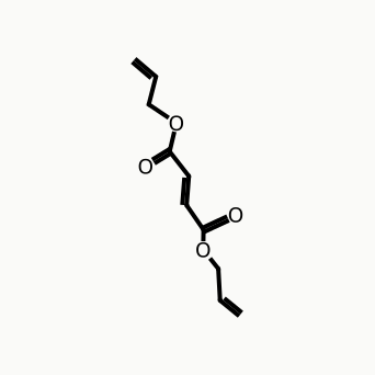 C=CCOC(=O)C=CC(=O)OCC=C